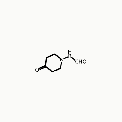 O=CBN1CCC(=O)CC1